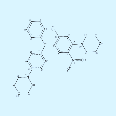 O=[N+]([O-])c1cc(C(c2ccccc2)c2ccc(N3CCOCC3)cc2)c(Cl)cc1N1CCOCC1